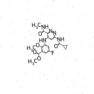 CNC(=O)c1nnc(NC(=O)C2CC2)cc1Nc1cc(F)cc(C(=O)OC)c1OC